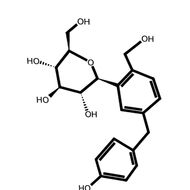 OCc1ccc(Cc2ccc(O)cc2)cc1[C@@H]1O[C@H](CO)[C@@H](O)[C@H](O)[C@H]1O